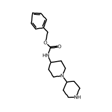 O=C(NC1CCN(C2CCNCC2)CC1)OCc1ccccc1